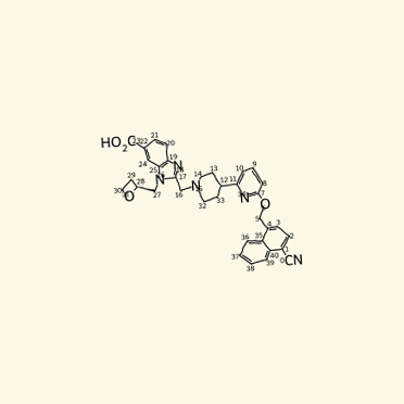 N#Cc1ccc(COc2cccc(C3CCN(Cc4nc5ccc(C(=O)O)cc5n4C[C@@H]4CCO4)CC3)n2)c2ccccc12